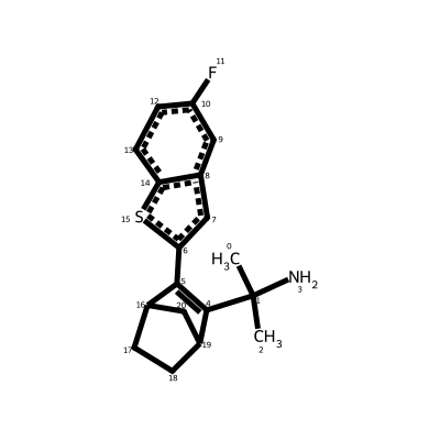 CC(C)(N)C1=C(c2cc3cc(F)ccc3s2)C2CCC1C2